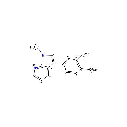 COc1ccc(-c2cn(C(=O)O)c3ncccc23)cc1OC